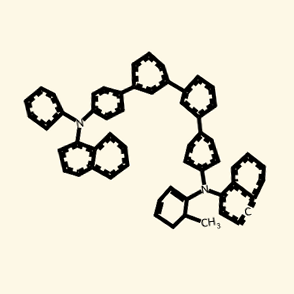 CC1CC=CC=C1N(c1ccc(-c2cccc(-c3cccc(-c4ccc(N(c5ccccc5)c5cccc6ccccc56)cc4)c3)c2)cc1)c1cccc2ccccc12